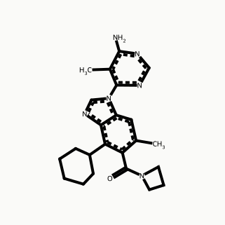 Cc1cc2c(ncn2-c2ncnc(N)c2C)c(C2CCCCC2)c1C(=O)N1CCC1